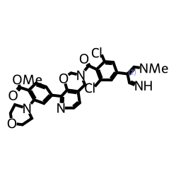 CN/C=C(\C=N)c1cc(Cl)c(C(=O)N2COc3c(ccnc3-c3ccc(C(=O)OC)c(N4CCOCC4)c3)C2)c(Cl)c1